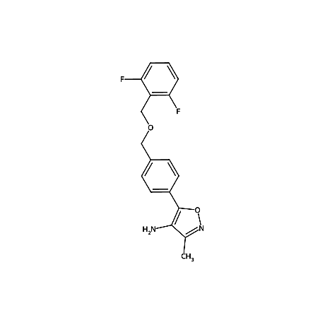 Cc1noc(-c2ccc(COCc3c(F)cccc3F)cc2)c1N